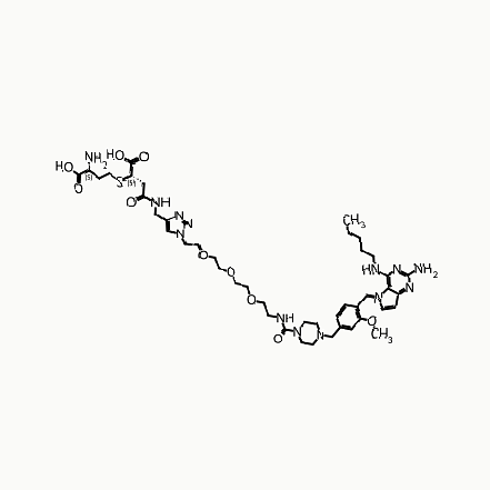 CCCCCNc1nc(N)nc2ccn(Cc3ccc(CN4CCN(C(=O)NCCOCCOCCOCCn5cc(CNC(=O)C[C@H](SCC[C@H](N)C(=O)O)C(=O)O)nn5)CC4)cc3OC)c12